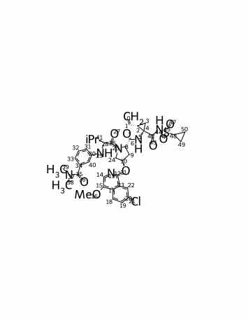 C=C[C@@H]1C[C@]1(NC(=O)[C@@H]1C[C@@H](Oc2ncc(OC)c3ccc(Cl)cc23)CN1C(=O)[C@@H](Nc1cccc(C(=O)N(C)C)c1)C(C)C)C(=O)NS(=O)(=O)C1CC1